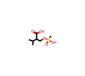 CC(C)C(COP(C)(=O)O)C(=O)O